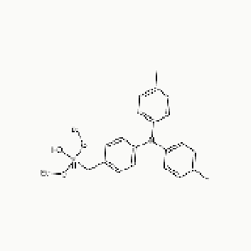 CCO[PH](O)(Cc1ccc(N(c2ccc(C)cc2)c2ccc(C)cc2)cc1)OCC